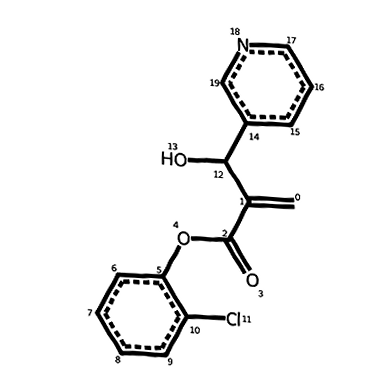 C=C(C(=O)Oc1ccccc1Cl)C(O)c1cccnc1